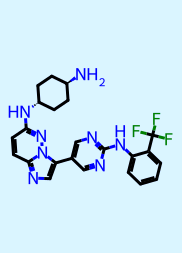 N[C@H]1CC[C@H](Nc2ccc3ncc(-c4cnc(Nc5ccccc5C(F)(F)F)nc4)n3n2)CC1